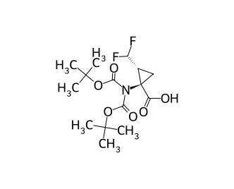 CC(C)(C)OC(=O)N(C(=O)OC(C)(C)C)[C@]1(C(=O)O)C[C@H]1C(F)F